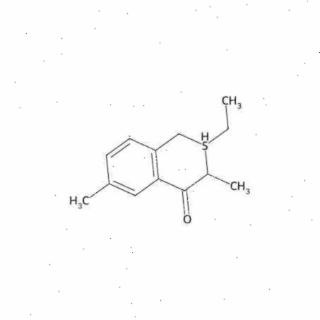 CC[SH]1Cc2[c]cc(C)cc2C(=O)C1C